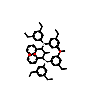 CCc1cc(CC)cc(P(c2cc(CC)cc(CC)c2)C(c2ccccc2)C(C)C(c2ccccc2)P(c2cc(CC)cc(CC)c2)c2cc(CC)cc(CC)c2)c1